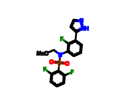 COCN(c1cccc(-c2ccn[nH]2)c1F)S(=O)(=O)c1c(F)cccc1F